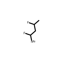 CCCC(F)CC(C)F